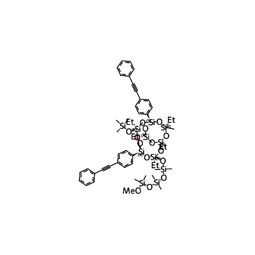 CC[Si@]1(C)O[Si@@]2(CC)O[Si@@](CC)(O[Si](C)(C)O[Si](C)(C)O[Si](C)(C)OC)O[Si@]3(c4ccc(C#Cc5ccccc5)cc4)O[Si@](CC)(O[Si](C)(C)C)O[Si@](c4ccc(C#Cc5ccccc5)cc4)(O1)O[Si@@](CC)(O2)O3